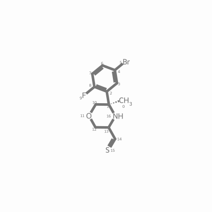 C[C@@]1(c2cc(Br)ccc2F)COCC(C=S)N1